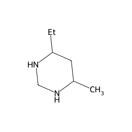 CCC1CC(C)NCN1